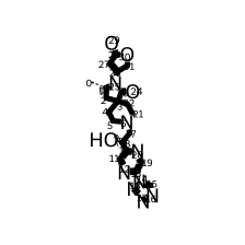 C[C@H]1CC2(CCN(C[C@@H](O)c3cnc(-n4cnnn4)cn3)CC2)C(=O)N1C1=CC(=O)OC1